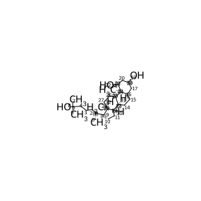 C[C@H](CCCC(C)(C)O)[C@H]1CC[C@H]2[C@@H]3CC=C4C[C@H](O)C[C@H](O)[C@]4(C)[C@H]3CC[C@]12C